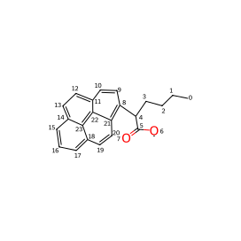 CCCCC(C([O])=O)c1ccc2ccc3cccc4ccc1c2c34